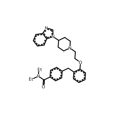 CCN(CC)C(=O)c1ccc(Cc2ccccc2OCCN2CCC(n3cnc4ccccc43)CC2)cc1